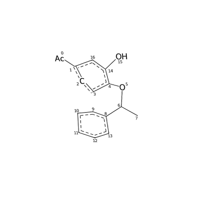 CC(=O)c1ccc(OC(C)c2ccccc2)c(O)c1